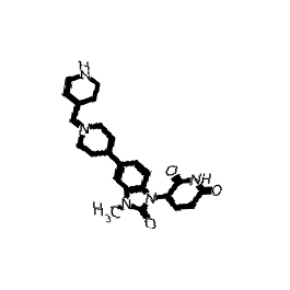 Cn1c(=O)n(C2CCC(=O)NC2=O)c2ccc(C3CCN(CC4CCNCC4)CC3)cc21